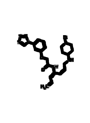 C=C/C=C(\C=C/CNC1CCN(CC)CC1)NC(=O)COc1cccc(-n2cnnn2)c1